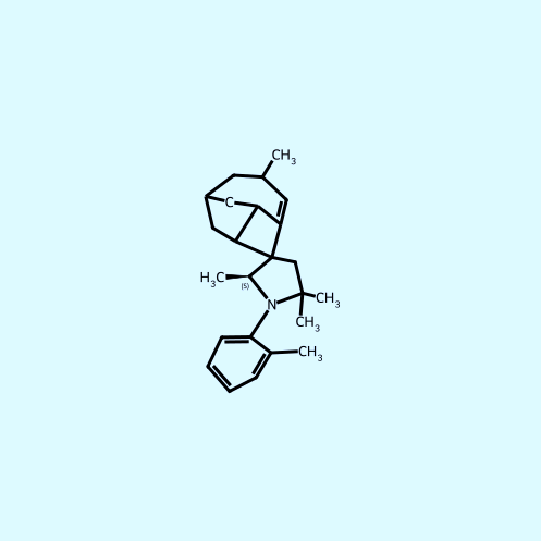 Cc1ccccc1N1[C@@H](C)C2(CC1(C)C)C1=CC(C)CC3CC1C2C3